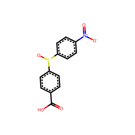 O=C(O)c1ccc([S+]([O-])c2ccc([N+](=O)[O-])cc2)cc1